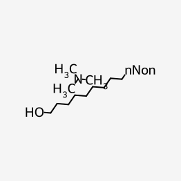 CCCCCCCCCCCCCCCCCCO.CN(C)C